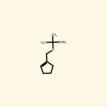 COC(C)(C)OCC1=CCCC1